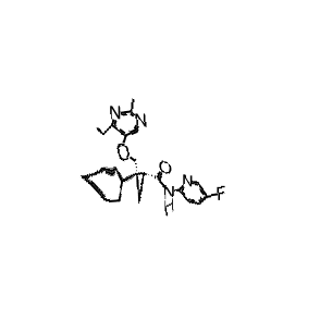 CCc1nc(C)ncc1OC[C@@]1(C2C=CC=CC2)C[C@H]1C(=O)Nc1ccc(F)cn1